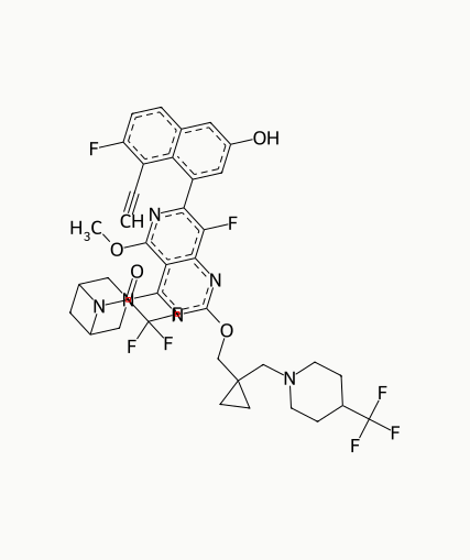 C#Cc1c(F)ccc2cc(O)cc(-c3nc(OC)c4c(N5CC6CC(C5)N6C(=O)C(F)(F)F)nc(OCC5(CN6CCC(C(F)(F)F)CC6)CC5)nc4c3F)c12